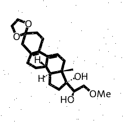 COC[C@@H](O)[C@@]1(O)CC[C@H]2[C@@H]3CCC4=C(CCC5(C4)OCCO5)C3=CC[C@@]21C